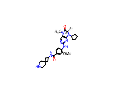 CC[C@@H]1C(=O)N(C)c2cnc(Nc3ccc(C(=O)NC4CC5(CCNCC5)C4)cc3OC)nc2N1C1CCCC1